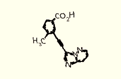 Cc1ccc(C(=O)O)cc1C#Cc1cnc2cccnn12